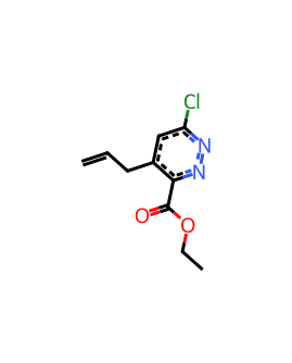 C=CCc1cc(Cl)nnc1C(=O)OCC